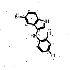 Clc1ccc(Nc2c[nH]c3ccc(Br)cc23)c(Cl)c1